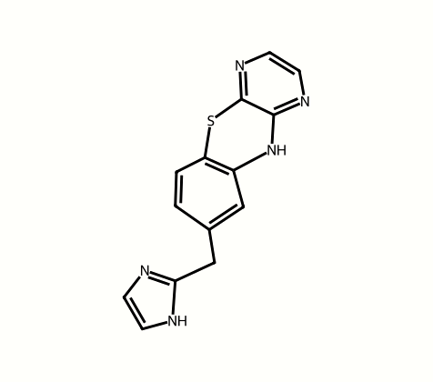 c1c[nH]c(Cc2ccc3c(c2)Nc2nccnc2S3)n1